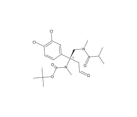 CC(C)C(=O)N(C)C[C@](CC=O)(c1ccc(Cl)c(Cl)c1)N(C)C(=O)OC(C)(C)C